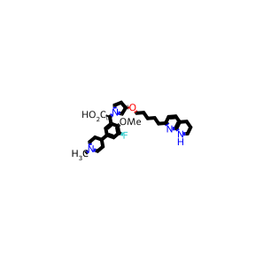 COc1c(F)cc(C2CCN(C)CC2)cc1[C@@H](C(=O)O)N1CC[C@@H](OCCCCCc2ccc3c(n2)NCCC3)C1